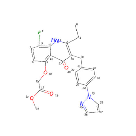 CCc1[nH]c2c(F)ccc(OCC(=O)OC)c2c(=O)c1Cc1ccc(-n2cccn2)cc1